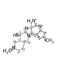 CCCCc1nc2c(N)nc3cc(C)sc3c2n1CC1CCN(C)CC1